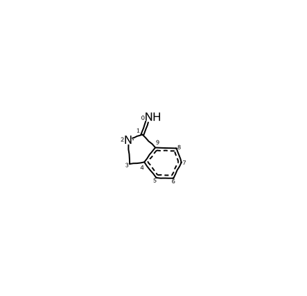 N=C1[N]Cc2ccccc21